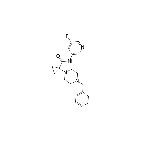 O=C(Nc1cncc(F)c1)C1(N2CCN(Cc3ccccc3)CC2)CC1